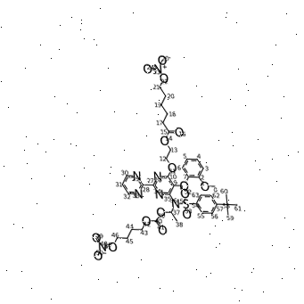 COc1ccccc1Oc1c(OCCOC(=O)CCCCCO[N+](=O)[O-])nc(-c2ncccn2)nc1N(C(C)OC(=O)OCCCCO[N+](=O)[O-])S(=O)(=O)c1ccc(C(C)(C)C)cc1